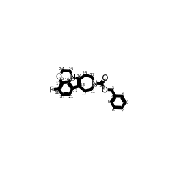 O=C(OCc1ccccc1)N1CCc2c(n3c4c(c(F)ccc24)OCC3)CC1